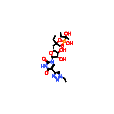 CCn1cc(-c2cn([C@@H]3O[C@H](CC(C)(CC)OP(=O)(O)C(C)(O)CC)C(O)[C@@H]3O)c(=O)[nH]c2=O)nn1